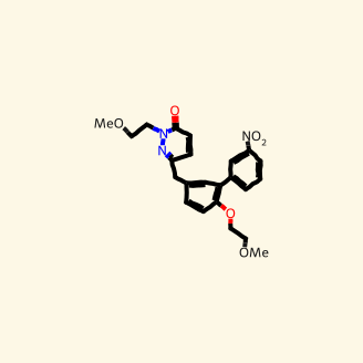 COCCOc1ccc(Cc2ccc(=O)n(CCOC)n2)cc1-c1cccc([N+](=O)[O-])c1